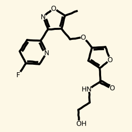 Cc1onc(-c2ccc(F)cn2)c1COc1coc(C(=O)NCCO)c1